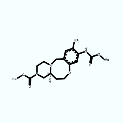 CC(C)(C)OC(=O)Nc1cc2c(cc1[N+](=O)[O-])CN1CCN(C(=O)OC(C)(C)C)C[C@@H]1CCO2